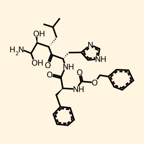 CC(C)C[C@H](C(=O)[C@H](Cc1c[nH]cn1)NC(=O)[C@H](Cc1ccccc1)NC(=O)OCc1ccccc1)[C@H](O)C(N)O